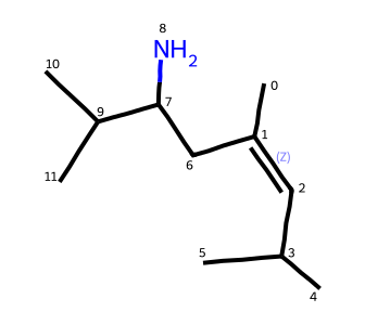 C/C(=C/C(C)C)CC(N)C(C)C